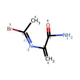 C=C(/N=C(\C)Br)C(N)=O